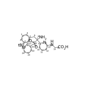 CC(C)(C)c1cccc(CC(N)(c2cccc(NCC(=O)O)n2)S(=O)(=O)c2cccnc2)c1